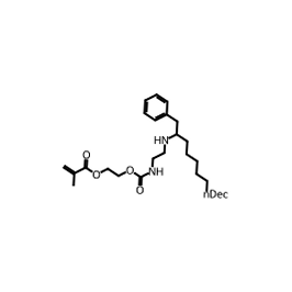 C=C(C)C(=O)OCCOC(=O)NCCNC(CCCCCCCCCCCCCCC)Cc1ccccc1